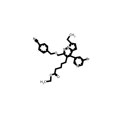 CCOC(=O)CCCCc1c(COCc2ccc(C#N)cc2)nn2c(CC)ccc2c1-c1cncc(Br)c1